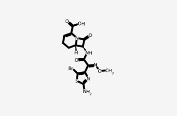 CON=C(C(=O)N[C@@H]1C(=O)N2C(C(=O)O)=CCC[C@@H]12)c1nc(N)sc1Br